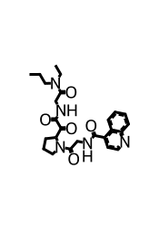 CCCN(CC)C(=O)CNC(=O)C(=O)C1CCCN1C(=O)CNC(=O)c1ccnc2ccccc12